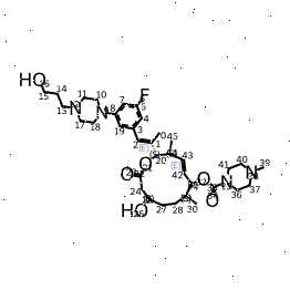 C/C(=C\c1cc(F)cc(N2CCN(CCCO)CC2)c1)[C@H]1OC(=O)C[C@H](O)CC[C@H](C)[C@@H](OC(=O)N2CCN(C)CC2)/C=C/[C@@H]1C